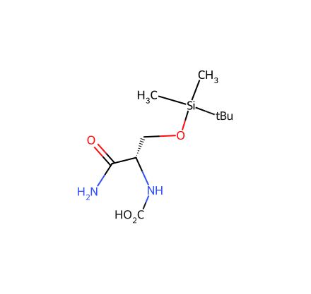 CC(C)(C)[Si](C)(C)OC[C@H](NC(=O)O)C(N)=O